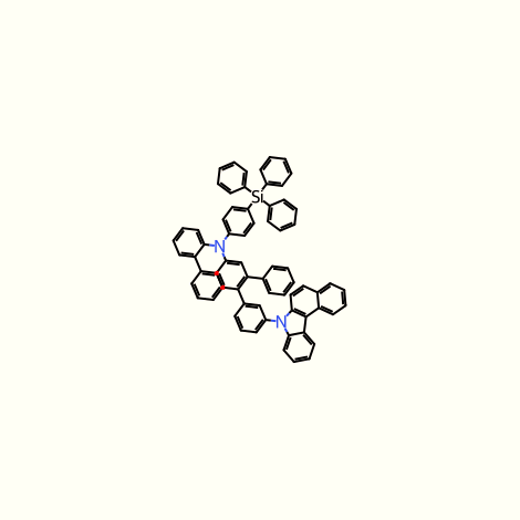 c1ccc(-c2cc(N(c3ccc([Si](c4ccccc4)(c4ccccc4)c4ccccc4)cc3)c3ccccc3-c3ccccc3)ccc2-c2cccc(-n3c4ccccc4c4c5ccccc5ccc43)c2)cc1